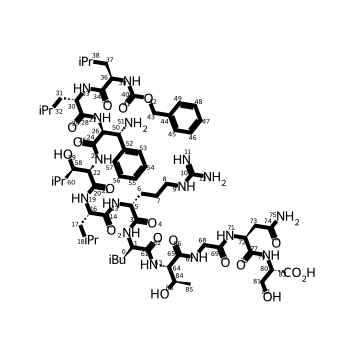 CC[C@H](C)C(NC(=O)[C@@H](CCCNC(=N)N)NC(=O)[C@H](CC(C)C)NC(=O)[C@@H](NC(=O)[C@@H](NC(=O)[C@H](CC(C)C)NC(=O)[C@@H](CC(C)C)NC(=O)OCc1ccccc1)[C@H](N)c1ccccc1)[C@H](O)C(C)C)C(=O)N[C@H](C(=O)NCC(=O)N[C@@H](CC(N)=O)C(=O)N[C@@H](CO)C(=O)O)[C@@H](C)O